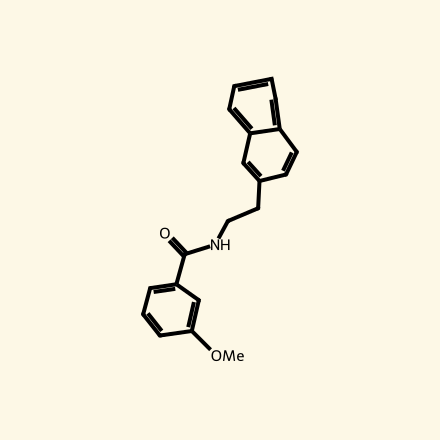 COc1cccc(C(=O)NCCc2ccc3ccccc3c2)c1